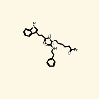 CCC(=O)CCCCC[C@H](NC(=O)CCc1c[nH]c2ccccc12)C(=O)NCCc1ccccc1